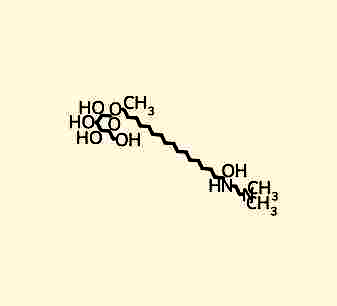 CC(CCCCCCCCCCCCCCCC(O)NCCN(C)C)OC1OC(CO)C(O)C(O)C1O